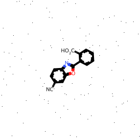 N#Cc1ccc2nc(-c3ccccc3C(=O)O)oc2c1